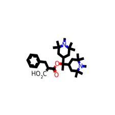 CN1C(C)(C)CC(C(C)(OC(=O)C(Cc2ccccc2)C(=O)O)C2CC(C)(C)N(C)C(C)(C)C2)CC1(C)C